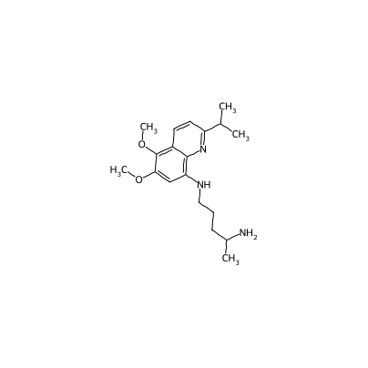 COc1cc(NCCCC(C)N)c2nc(C(C)C)ccc2c1OC